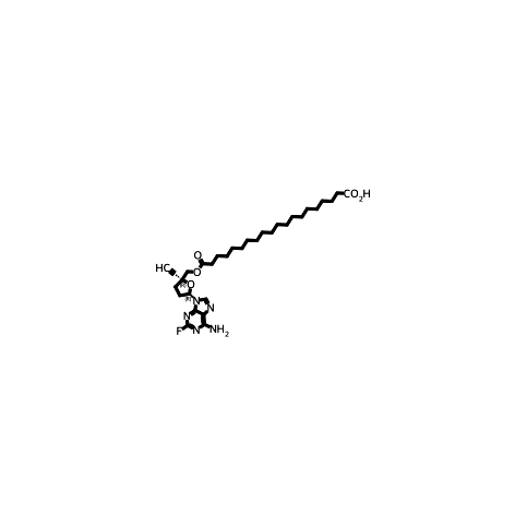 C#C[C@@]1(COC(=O)CCCCCCCCCCCCCCCCCCC(=O)O)CC[C@H](n2cnc3c(N)nc(F)nc32)O1